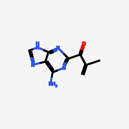 C=C(C)C(=O)c1nc(N)c2nc[nH]c2n1